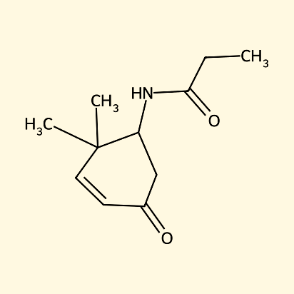 CCC(=O)NC1CC(=O)C=CC1(C)C